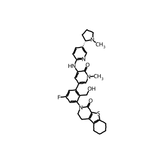 CN1CCC[C@H]1c1ccc(Nc2cc(-c3cc(F)cc(N4CCc5c(sc6c5CCCC6)C4=O)c3CO)cn(C)c2=O)nc1